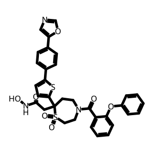 O=C(CC1(c2ccc(-c3ccc(-c4cnco4)cc3)s2)CCN(C(=O)c2ccccc2Oc2ccccc2)CCS1(=O)=O)NO